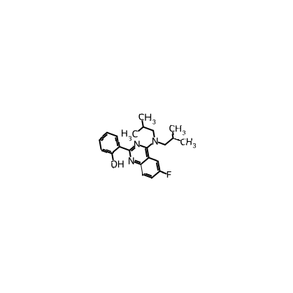 CC(C)CN(CC(C)C)c1nc(-c2ccccc2O)nc2ccc(F)cc12